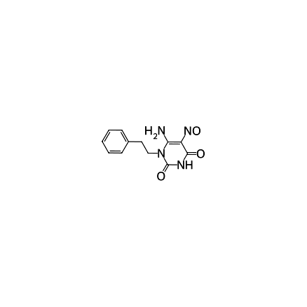 Nc1c(N=O)c(=O)[nH]c(=O)n1CCc1ccccc1